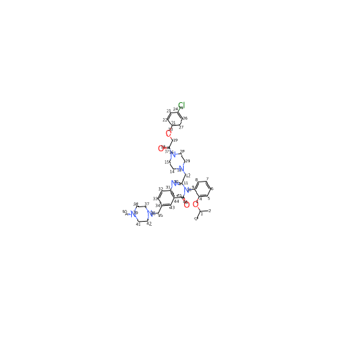 CC(C)Oc1ccccc1-n1c(CN2CCN(C(=O)COc3ccc(Cl)cc3)CC2)nc2ccc(CN3CCN(C)CC3)cc2c1=O